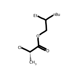 CCCCC(CC)COC(=O)[C@H](C)Cl